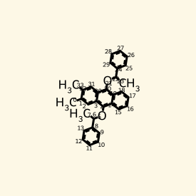 Cc1cc2c(OC(C)c3ccccc3)c3ccccc3c(OC(C)c3ccccc3)c2cc1C